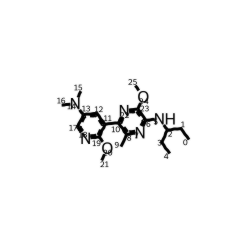 CCC(CC)Nc1nc(C)c(-c2cc(N(C)C)cnc2OC)nc1OC